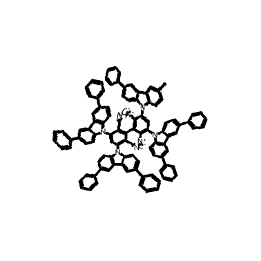 [C-]#[N+]c1c(-n2c3ccc(C)cc3c3cc(-c4ccccc4)ccc32)cc(-n2c3ccc(-c4ccccc4)cc3c3cc(-c4ccccc4)ccc32)c([N+]#[C-])c1-c1c(C#N)c(-n2c3ccc(-c4ccccc4)cc3c3cc(-c4ccccc4)ccc32)cc(-n2c3ccc(-c4ccccc4)cc3c3cc(-c4ccccc4)ccc32)c1C#N